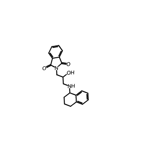 O=C1c2ccccc2C(=O)N1CC(O)CNC1CCCc2ccccc21